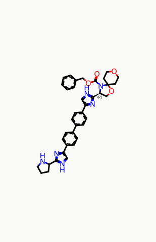 O=C(OCc1ccccc1)N1[C@H](c2nc(-c3ccc(-c4ccc(-c5c[nH]c(C6CCCN6)n5)cc4)cc3)c[nH]2)COC12CCOCC2